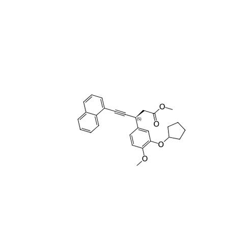 COC(=O)C[C@H](C#Cc1cccc2ccccc12)c1ccc(OC)c(OC2CCCC2)c1